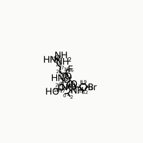 CC(C)C(NC(=O)c1ccc(Br)cc1)C(=O)N1C[C@H](O)C[C@H]1C(=O)NC(CCCNC(=N)N)C(=O)CF